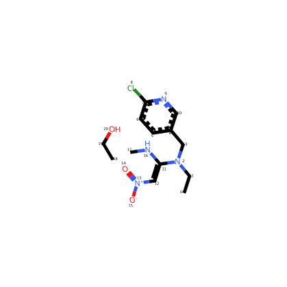 CCN(Cc1ccc(Cl)nc1)C(=C[N+](=O)[O-])NC.CCO